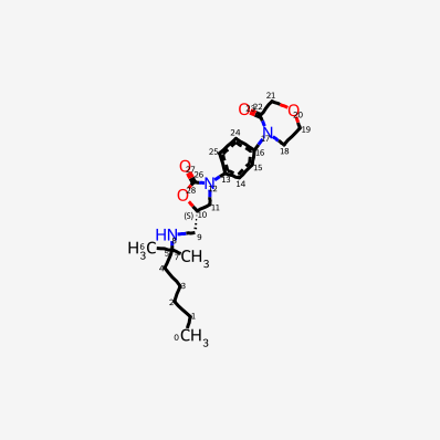 CCCCCC(C)(C)NC[C@H]1CN(c2ccc(N3CCOCC3=O)cc2)C(=O)O1